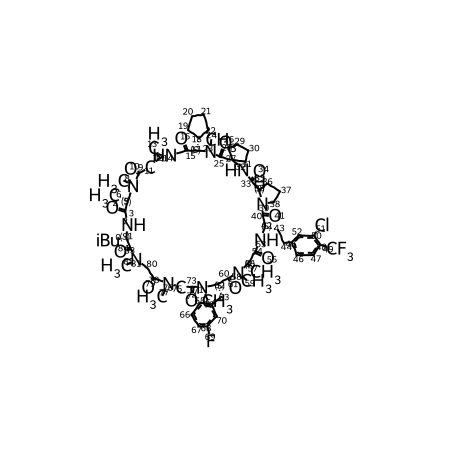 CCC(C)[C@@H]1NC(=O)[C@H](C)N(C)C(=O)C[C@@H](C)NC(=O)[C@H](C2CCCC2)N(C)C(=O)C2(CCCC2)NC(=O)[C@@H]2CCCN2C(=O)[C@H](CCc2ccc(C(F)(F)F)c(Cl)c2)NC(=O)[C@@H](C)N(C)C(=O)[C@H](Cc2cccc(F)c2)N(C)C(=O)CN(C)C(=O)CN(C)C1=O